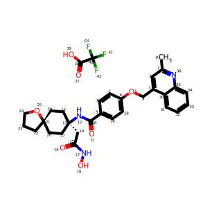 Cc1cc(COc2ccc(C(=O)N[C@]3(CC(=O)NO)CC[C@]4(CCCO4)CC3)cc2)c2ccccc2n1.O=C(O)C(F)(F)F